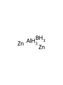 B.[AlH3].[Zn].[Zn]